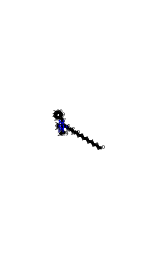 CCCCCCCCCCCCCCCc1n(Cc2ccccc2)cc[n+]1C(C)C